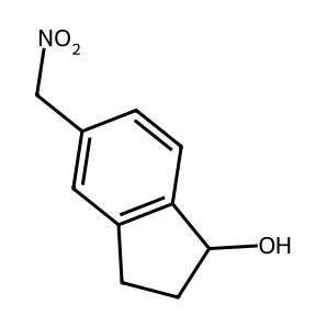 O=[N+]([O-])Cc1ccc2c(c1)CCC2O